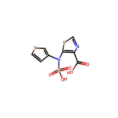 O=C(O)c1ncsc1N(c1ccsc1)S(=O)(=O)O